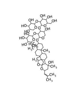 CC(C)=CC1CC(C)(O)C2C3CCC4C5(C)CCC(OC6OCC(O)C(OC7OC(CO)C(O)C(O)C7OC7OCC(O)C(O)C7O)C6OC6OC(C)C(O)C(O)C6O)C(C)(C)C5CCC4(C)C34COC2(C4)O1